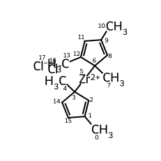 CC1=C[C](C)([Zr+2][C]2(C)C=C(C)C=C2C)C=C1.[Cl-].[Cl-]